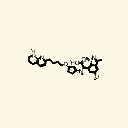 COc1cc([C@H](C(=O)O)N(C)[C@H]2CC[C@H](OCCCCc3ccc4c(n3)NCCC4)C2)c2c(c1)c(C)nn2C